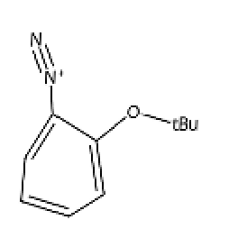 CC(C)(C)Oc1ccccc1[N+]#N